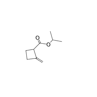 C=C1CCC1C(=O)OC(C)C